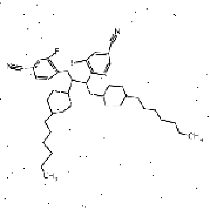 CCCCCCCC1CCC(CC(c2ccc(C#N)cc2F)C(Cc2ccc(C#N)cc2F)C2CCC(CCCCCC)CC2)CC1